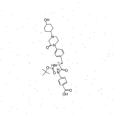 CC(C)(C)OC(=O)N[C@@H](Cc1ccc(N2CCN(C3CCC(O)CC3)CC2=O)cc1)C(=O)Nc1ccc(C(=O)O)cc1